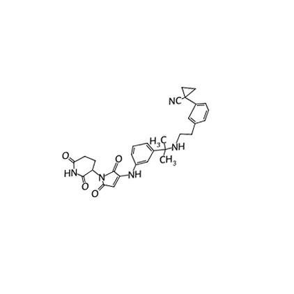 CC(C)(NCCc1cccc(C2(C#N)CC2)c1)c1cccc(NC2=CC(=O)N(C3CCC(=O)NC3=O)C2=O)c1